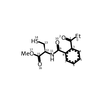 CCC(=O)c1ccccc1C(=O)N[C@H](CS)C(=O)OC